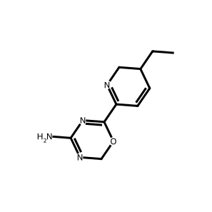 CCC1C=CC(C2=NC(N)=NCO2)=NC1